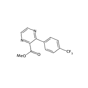 COC(=O)c1nccnc1-c1ccc(C(F)(F)F)cc1